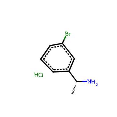 C[C@@H](N)c1cccc(Br)c1.Cl